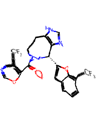 O=C(c1ocnc1C(F)(F)F)N1CCc2[nH]cnc2[C@@H]1c1cc2cccc(C(F)(F)F)c2o1